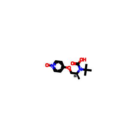 C[C@@H](COc1cc[n+]([O-])cc1)N(C(=O)O)C(C)(C)C